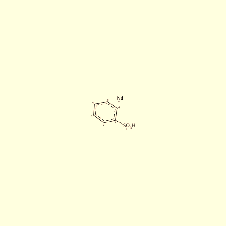 O=S(=O)(O)c1ccccc1.[Nd]